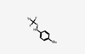 [2H]C(F)(F)SNc1ccc(C(C)(C)C)cc1